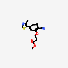 COC(=O)CCOc1cc(-c2scnc2C)ccc1C#N